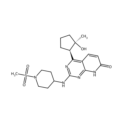 C[C@@]1(O)CCC[C@@H]1c1nc(NC2CCN(S(C)(=O)=O)CC2)nc2[nH]c(=O)ccc12